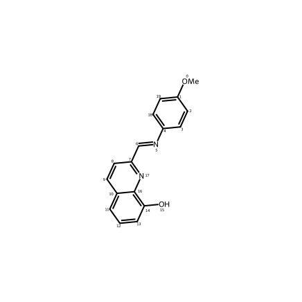 COc1ccc(N=Cc2ccc3cccc(O)c3n2)cc1